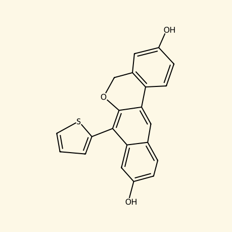 Oc1ccc2c(c1)COc1c-2cc2ccc(O)cc2c1-c1cccs1